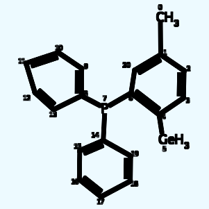 Cc1cc[c]([GeH3])c(P(c2ccccc2)c2ccccc2)c1